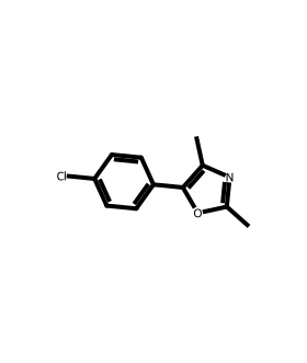 Cc1nc(C)c(-c2ccc(Cl)cc2)o1